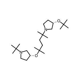 CC(C)(C)O[C@H]1CCN(C(C)(C)CCC(C)(C)O[C@@H]2CCN(C(C)(C)C)C2)C1